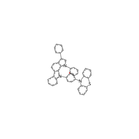 c1ccc(-c2cn(-c3ccccc3)c3c2ccc2c4ccccc4n(-c4ccc(N5c6ccccc6Sc6ccccc65)cc4)c23)cc1